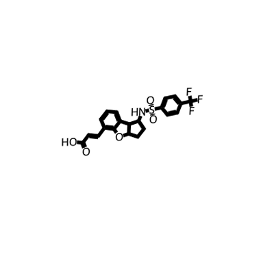 O=C(O)C=Cc1cccc2c1OC1CCC(NS(=O)(=O)c3ccc(C(F)(F)F)cc3)C21